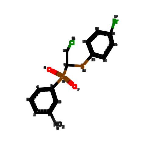 O=[N+]([O-])c1cccc(S(=O)(=O)C(CCl)Sc2ccc(Br)cc2)c1